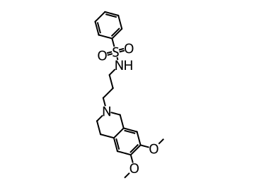 COc1cc2c(cc1OC)CN(CCCNS(=O)(=O)c1ccccc1)CC2